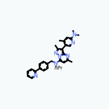 CCCN(Cc1ccc(-c2ccccn2)cc1)c1cc(C)nc2c(-c3cnc(N(C)C)cc3C)c(C)nn12